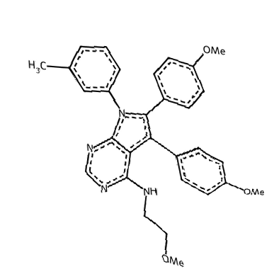 COCCNc1ncnc2c1c(-c1ccc(OC)cc1)c(-c1ccc(OC)cc1)n2-c1cccc(C)c1